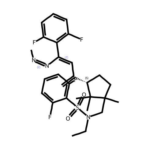 C=C(/C=C(\N=N/C)c1c(F)cccc1F)[C@@H]1CCC(C)(CN(CC)S(=O)(=O)c2c(F)cccc2F)C1(C)C